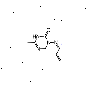 C=C/C=N\N1CN=C(C)NC1=O